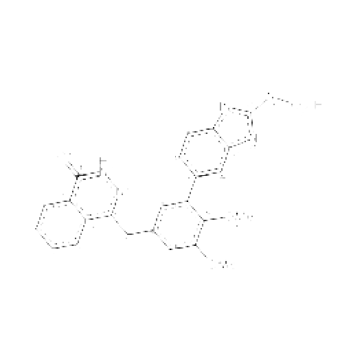 COc1cc(Cc2n[nH]c(=O)c3ccccc23)cc(-c2ccc3[nH]c(NC(=O)O)nc3c2)c1OC